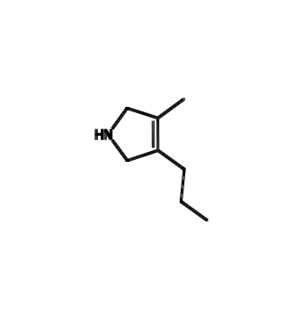 CCCC1=C(C)CNC1